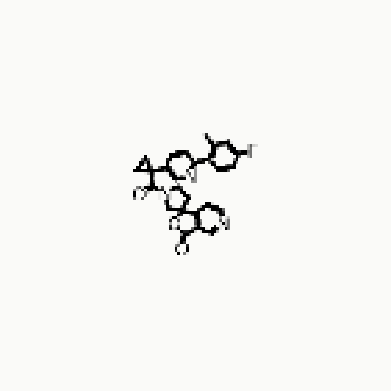 Cc1cc(F)ccc1-c1ccc(C2(C(=O)N3CCC4(C3)OC(=O)c3cnccc34)CC2)cn1